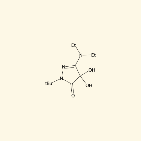 CCN(CC)C1=NN(C(C)(C)C)C(=O)C1(O)O